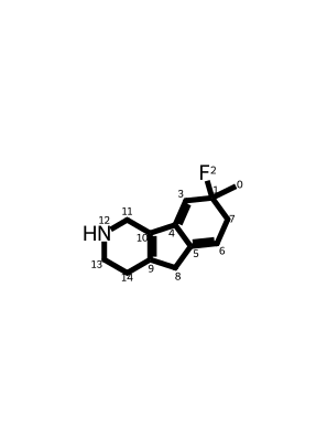 CC1(F)C=C2C(=CC1)CC1=C2CNCC1